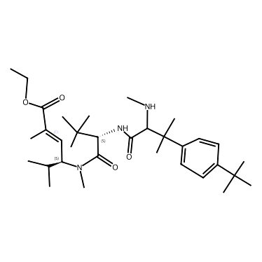 CCOC(=O)/C(C)=C/[C@H](C(C)C)N(C)C(=O)[C@@H](NC(=O)C(NC)C(C)(C)c1ccc(C(C)(C)C)cc1)C(C)(C)C